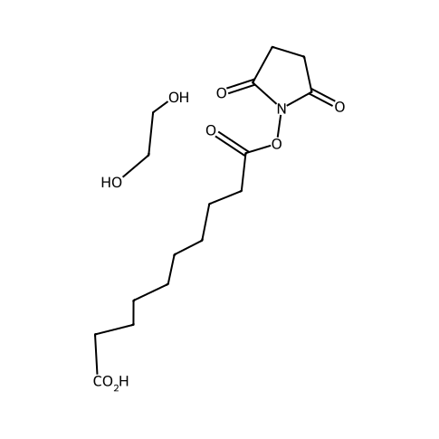 O=C(O)CCCCCCCCC(=O)ON1C(=O)CCC1=O.OCCO